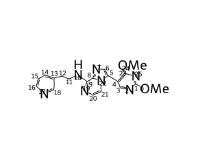 COc1ncc(-c2cnc3c(NCCc4cccnc4)nccn23)c(OC)n1